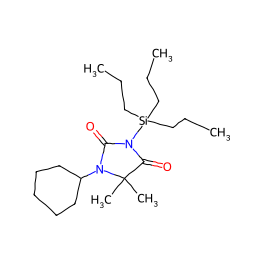 CCC[Si](CCC)(CCC)N1C(=O)N(C2CCCCC2)C(C)(C)C1=O